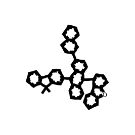 CC1(C)c2ccccc2-c2ccc(-c3c4ccccc4c(-c4cccc5oc6ccccc6c45)c4ccc(-c5ccc6ccccc6c5)cc34)cc21